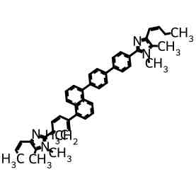 C=C(/C=C\C(=C/C)c1cccc2c(-c3ccc(-c4ccc(-c5nc(/C=C\CC)c(C)n5C)cc4)cc3)cccc12)c1nc(/C=C\C)c(C)n1C